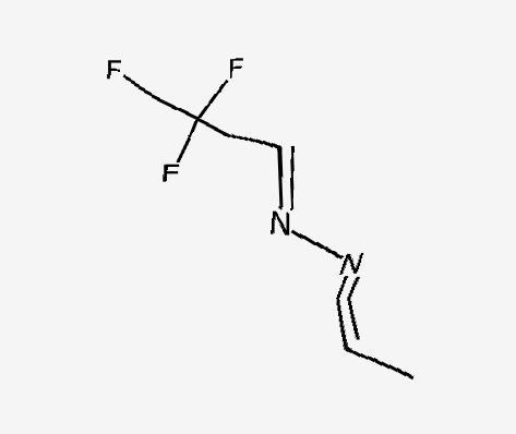 CC=NN=CC(F)(F)F